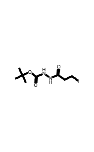 CC(C)(C)OC(=O)NNC(=O)CCI